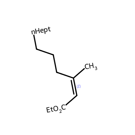 CCCCCCCCCC/C(C)=C\C(=O)OCC